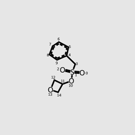 O=S(=O)(Cc1ccccc1)OC1COC1